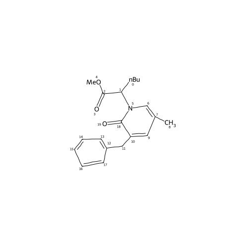 CCCCC(C(=O)OC)n1cc(C)cc(Cc2ccccc2)c1=O